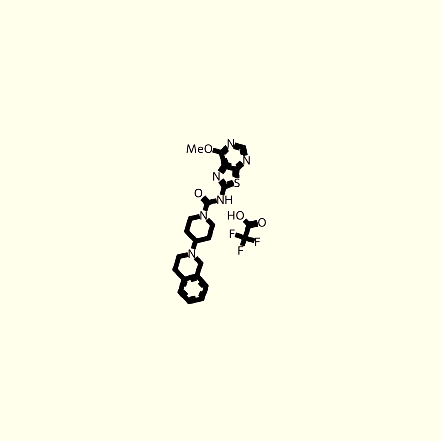 COc1ncnc2sc(NC(=O)N3CCC(N4CCc5ccccc5C4)CC3)nc12.O=C(O)C(F)(F)F